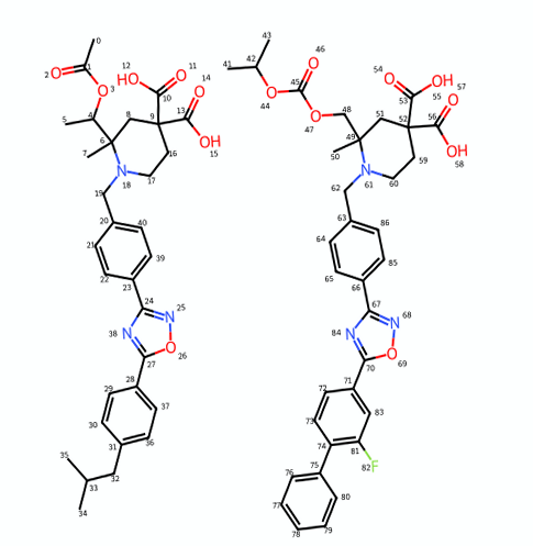 CC(=O)OC(C)C1(C)CC(C(=O)O)(C(=O)O)CCN1Cc1ccc(-c2noc(-c3ccc(CC(C)C)cc3)n2)cc1.CC(C)OC(=O)OCC1(C)CC(C(=O)O)(C(=O)O)CCN1Cc1ccc(-c2noc(-c3ccc(-c4ccccc4)c(F)c3)n2)cc1